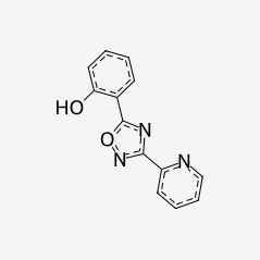 Oc1ccccc1-c1nc(-c2ccccn2)no1